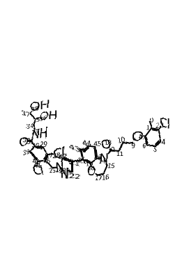 Cc1c(Cl)cccc1OCCCC(=O)N1CCCOc2c(-c3cnn(Cc4c(Cl)cc(C(=O)NCC(O)CO)cc4Cl)c3)cccc21